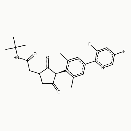 Cc1cc(-c2ncc(F)cc2F)cc(C)c1[C@H]1C(=O)CC(CC(=O)NC(C)(C)C)C1=O